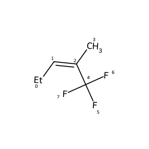 [CH2]CC=C(C)C(F)(F)F